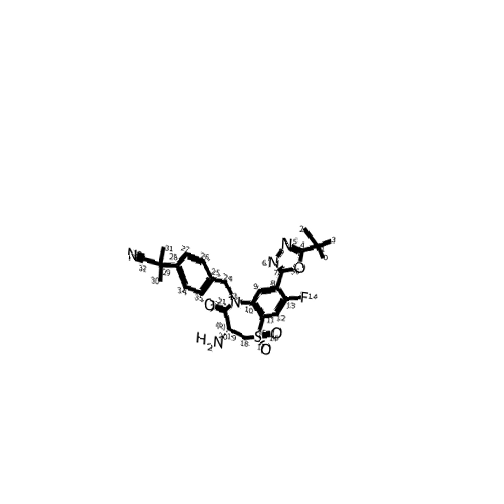 CC(C)(C)c1nnc(-c2cc3c(cc2F)S(=O)(=O)C[C@H](N)C(=O)N3Cc2ccc(C(C)(C)C#N)cc2)o1